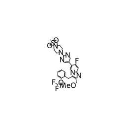 COCc1nc2cc(F)c(-c3cnc(N4CCN(S(C)(=O)=O)CC4)nc3)cn2c1Cc1ccccc1OC(F)F